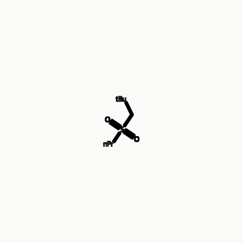 CCCS(=O)(=O)CC(C)(C)C